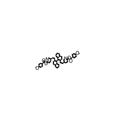 COc1ccc(C(=O)Oc2ccc(/C=C\c3ccc4ccccc4c3-c3c(/C=C\c4ccc(OC(=O)c5ccc(OC)cc5)nc4)ccc4ccccc34)cn2)cc1